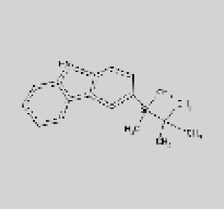 CC(C)(C)[Si](C)(C)c1ccc2[nH]c3ccccc3c2c1